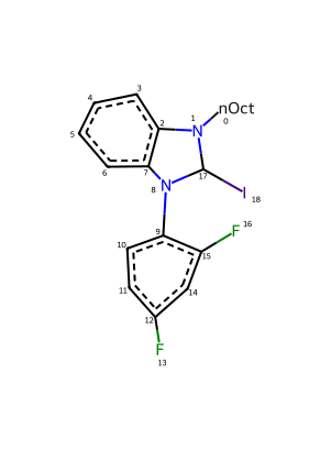 CCCCCCCCN1c2ccccc2N(c2ccc(F)cc2F)C1I